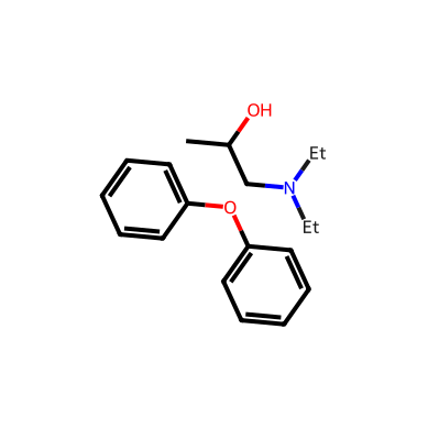 CCN(CC)CC(C)O.c1ccc(Oc2ccccc2)cc1